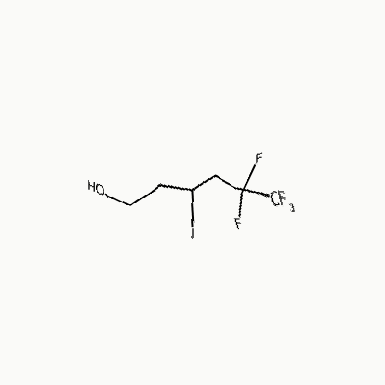 OCCC(I)CC(F)(F)C(F)(F)F